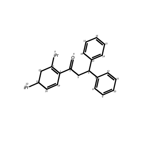 CC(C)C1=C(C(=O)CC(c2ccccc2)c2ccccc2)C=CC(C(C)C)[CH]1